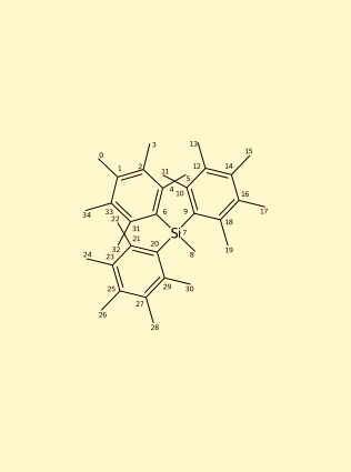 Cc1c(C)c(C)c([Si](C)(c2c(C)c(C)c(C)c(C)c2C)c2c(C)c(C)c(C)c(C)c2C)c(C)c1C